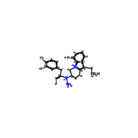 C/C=C(/Cc1ccc(F)c(F)c1)N(N)C1CCc2c(CC(=O)O)c3cccc(F)c3n2C1